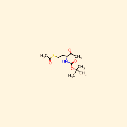 CC(=O)SCCC(NC(=O)OC(C)(C)C)C(C)=O